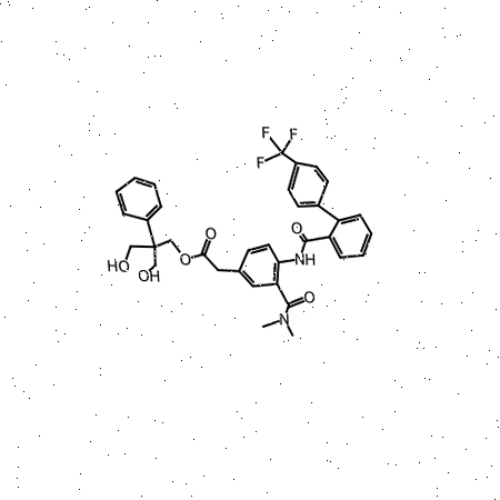 CN(C)C(=O)c1cc(CC(=O)OCC(CO)(CO)c2ccccc2)ccc1NC(=O)c1ccccc1-c1ccc(C(F)(F)F)cc1